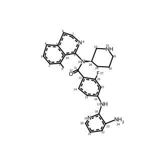 Cc1cccc2ccnc(N(C(=O)c3ccc(Nc4ncccc4N)cc3F)[C@@H]3CCCNC3)c12